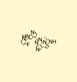 C[C@H]1CNCCN1c1nc(-c2ccnc3[nH]c(-c4ncccc4F)cc23)nc2cncc(C3=CC=C3)c12